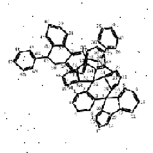 C1=CC2=C(CC1)C1(c3ccccc3-c3ccccc31)c1cccc(N(c3ccccc3)c3ccc4c(c3)-c3ccccc3C(c3ccccc3)C4)c1C21c2ccccc2-c2ccccc21